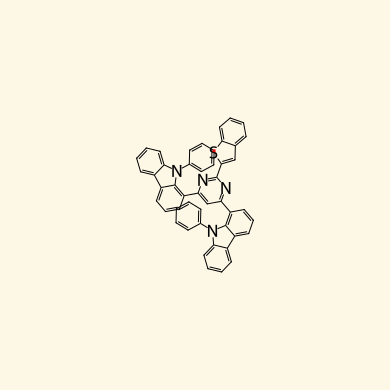 c1ccc(-n2c3ccccc3c3cccc(-c4cc(-c5cccc6c7ccccc7n(-c7ccccc7)c56)nc(-c5cc6ccccc6s5)n4)c32)cc1